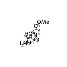 COCOC1CCN(C(=O)[C@H](C)[C@H](O)[C@@H](C)C(N)=O)CC1